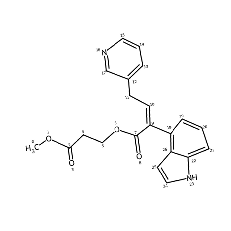 COC(=O)CCOC(=O)C(=CCc1cccnc1)c1cccc2[nH]ccc12